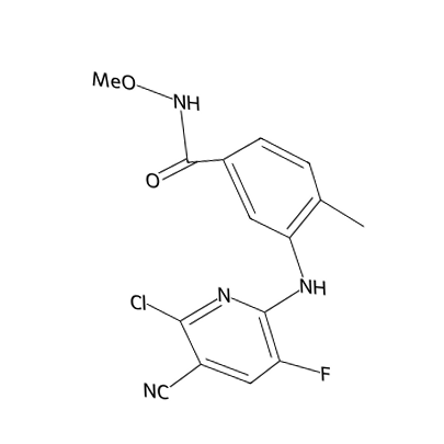 CONC(=O)c1ccc(C)c(Nc2nc(Cl)c(C#N)cc2F)c1